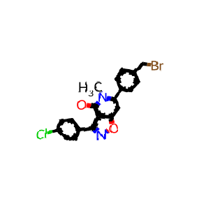 Cn1c(-c2ccc(CBr)cc2)cc2onc(-c3ccc(Cl)cc3)c2c1=O